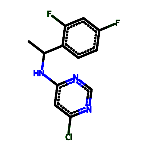 CC(Nc1cc(Cl)ncn1)c1ccc(F)cc1F